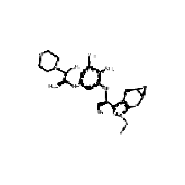 C=C(Nc1cc(N/C(=C/CCC)c2nn(SF)c3c2CC2CC2C3)c(C)c(C(F)(F)F)c1)C(C)N1CCOCC1